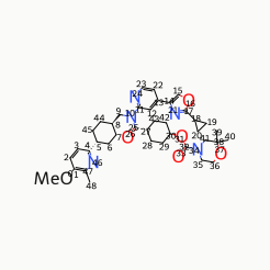 COc1ccc([C@H]2CC[C@H](CN(c3cc(-c4coc(C5CC5)n4)ccn3)C(=O)[C@H]3CC[C@H](OC(=O)N4CCOC(C)(C)C4)CC3)CC2)nc1C